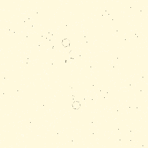 O=C(N[C@H]1CC[C@H](CCN2CCN(c3cccc(F)c3)CC2)CC1)C1=Cc2ccccc2C1